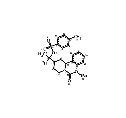 [2H]C(C)(OS(=O)(=O)c1ccc(C)cc1)C1CCN(C(=O)OC(C)(C)C)C(c2ccccc2)C1